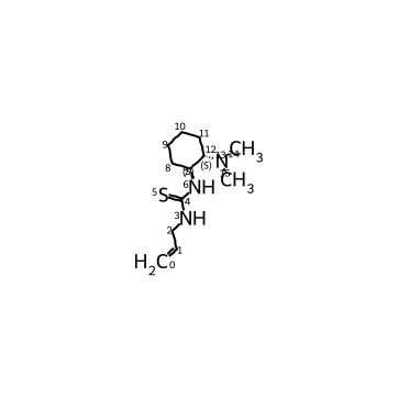 C=CCNC(=S)N[C@H]1CCCC[C@@H]1N(C)C